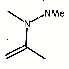 C=C(C)N(C)NC